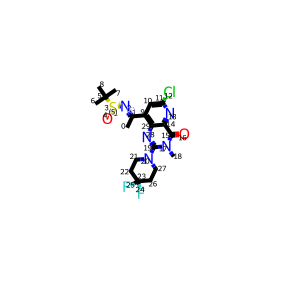 C/C(=N\[S@+]([O-])C(C)(C)C)c1cc(Cl)nc2c(=O)n(C)c(N3CCC(F)(F)CC3)nc12